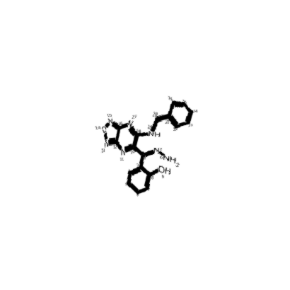 NN=C(c1ccccc1O)c1nc2nonc2nc1NCc1ccccc1